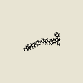 O=C(CN1CCC(c2ncc3cc4[nH]nc(-c5ccncc5)c4cc3n2)C1)N1CCN(c2ccc(-c3ncc(F)cn3)cc2)CC1